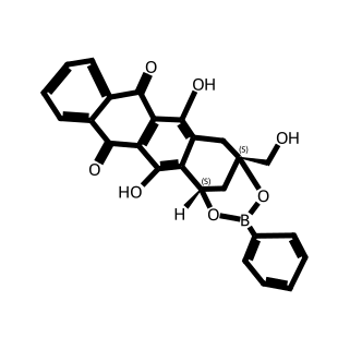 O=C1c2ccccc2C(=O)c2c(O)c3c(c(O)c21)C[C@@]1(CO)C[C@@H]3OB(c2ccccc2)O1